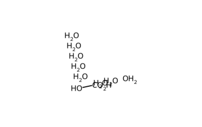 O.O.O.O.O.O.O.O.O=C(O)O